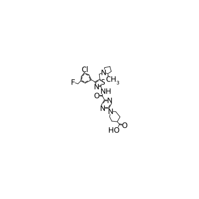 C[C@@H]1CCCN1Cc1sc(NC(=O)c2cnc(N3CCC(C(=O)O)CC3)cn2)nc1-c1cc(Cl)cc(CF)c1